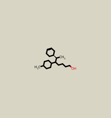 CC1CCC(C(CCCCO)C(C)[C@@H]2CC=CCC2)CC1